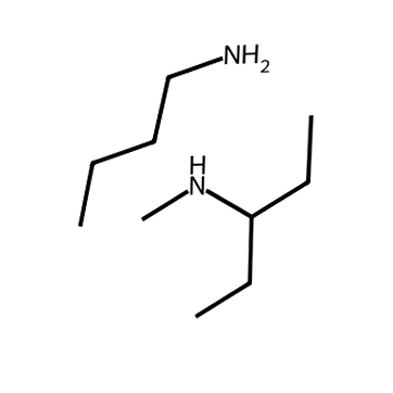 CCC(CC)NC.CCCCN